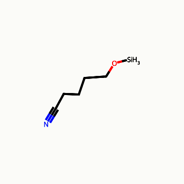 N#CCCCCO[SiH3]